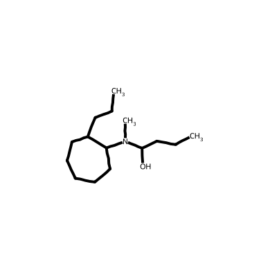 CCCC1CCCCCC1N(C)C(O)CCC